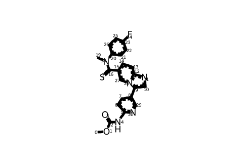 COC(=O)Nc1ccc(-c2cnc3ccc(C(=S)N(C)c4ccc(F)cc4)cn23)cn1